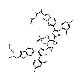 CCOC[C@H](C)Nc1nc2ccc(-c3nc(C4(C(O)C(OS(C)(=O)=O)C5(c6nc(-c7ccc8nc(N[C@@H](C)COCC)oc8n7)c(-c7ccc(F)cc7F)[nH]6)CC5)CC4)[nH]c3-c3ccc(F)cc3F)nc2o1